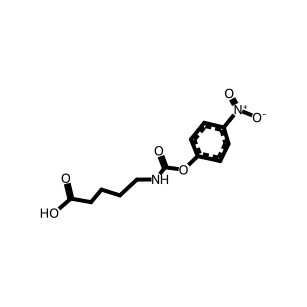 O=C(O)CCCCNC(=O)Oc1ccc([N+](=O)[O-])cc1